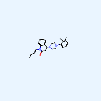 CC/C=C/N1C(=O)CC(N2CCN(c3cccc(C)c3C)CC2)c2ccccc21